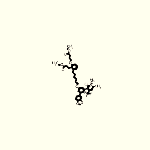 CCOC(=O)CCCOc1cccc(CCCCCCOc2cc(-c3ccc4c(c3)OCO4)cc(-c3c(C(F)(F)F)cc(C)n(C)c3=O)c2)c1CCC(=O)OCC